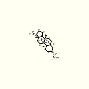 CCCCCCCCOC1=CC[C@@]2(C)[C@@H](CC[C@@H]3[C@@H]2CC[C@]2(C)[C@@H](O)CC[C@@H]32)C1